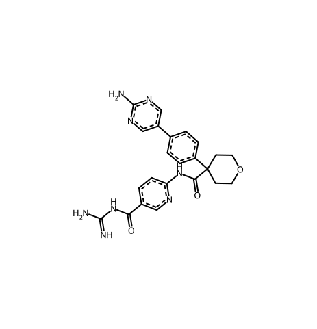 N=C(N)NC(=O)c1ccc(NC(=O)C2(c3ccc(-c4cnc(N)nc4)cc3)CCOCC2)nc1